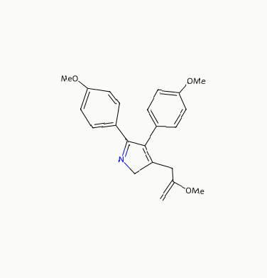 C=C(CC1=C(c2ccc(OC)cc2)C(c2ccc(OC)cc2)=NC1)OC